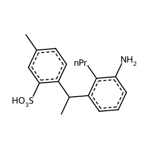 CCCc1c(N)cccc1C(C)c1ccc(C)cc1S(=O)(=O)O